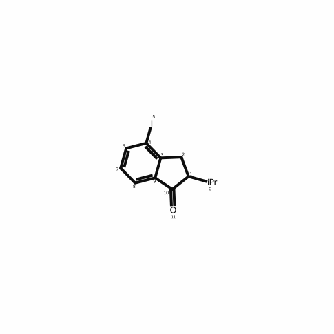 CC(C)C1Cc2c(I)cccc2C1=O